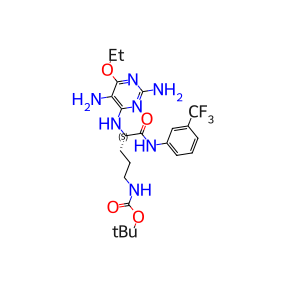 CCOc1nc(N)nc(N[C@@H](CCCNC(=O)OC(C)(C)C)C(=O)Nc2cccc(C(F)(F)F)c2)c1N